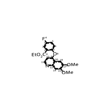 CCOC(=O)c1cc(F)ccc1Oc1ccnc2cc(OC)c(OC)cc12